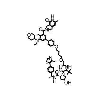 CCN(c1cc(-c2ccc(OCCCCOCC(=O)NC(C(=O)N3C[C@H](O)C[C@H]3C(=O)N[C@@H](C)c3ccc(-c4scnc4C)cc3)C(C)(C)C)cc2)cc(C(=O)NCc2c(C)cc(C)[nH]c2=O)c1C)C1CCOCC1